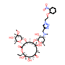 CC[C@H]1OC(=O)[C@H](C)[C@@H](O[C@H]2C[C@@](C)(OC)[C@@H](O)[C@H](C)O2)[C@H](C)[C@@H](O[C@@H]2O[C@H](C)C[C@H](N(C)Cc3cn(CCOc4ccccc4[N+](=O)[O-])nn3)[C@H]2O)[C@](C)(O)C[C@@H](C)C(=O)[C@H](C)[C@@H](O)[C@]1(C)O